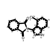 O=C1c2ccccc2C(=O)N1c1n[nH]c2cccc(Cl)c12